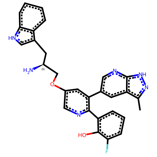 Cc1n[nH]c2ncc(-c3cc(OC[C@@H](N)Cc4c[nH]c5ccccc45)cnc3-c3cccc(F)c3O)cc12